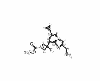 CC(C)(C)OC(=O)N1CC(F)(c2cc(C3CC3)cn3cc(CN)nc23)C1